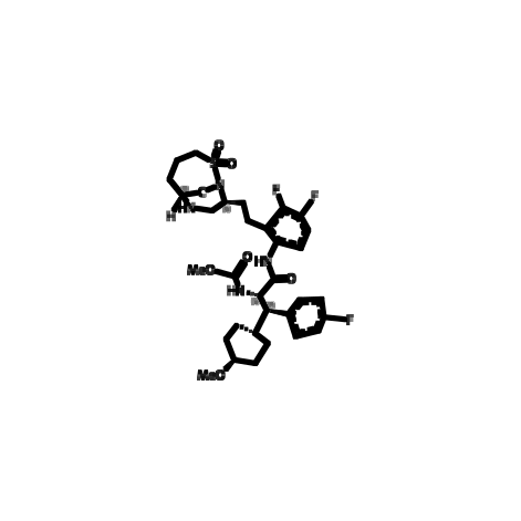 COC(=O)N[C@H](C(=O)Nc1ccc(F)c(F)c1CC[C@H]1CN[C@@H]2CCCS(=O)(=O)N1C2)[C@@H](c1ccc(F)cc1)[C@H]1CC[C@H](OC)CC1